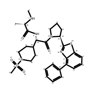 CN[C@@H](C)C(=O)N[C@H](C(=O)N1CCC[C@H]1c1nc2c(-c3ccccc3)cccc2s1)C1CCN(S(C)(=O)=O)CC1